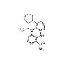 NC(=O)c1nccnc1Nc1cccc(C2=CCOCC2)c1OCC(F)(F)F